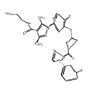 Cc1nn(-c2cc(OC3CN(C(=O)N4N=CC[C@H]4c4cccc(F)c4)C3)c(F)cn2)c(C)c1C(=O)NCCO